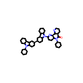 O=c1c2cccnc2c2nc(-n3c4ccccc4c4cc(-c5ccc6c(c5)c5ccccc5n6-c5ccccc5)ccc43)ccc2n1-c1ccccc1